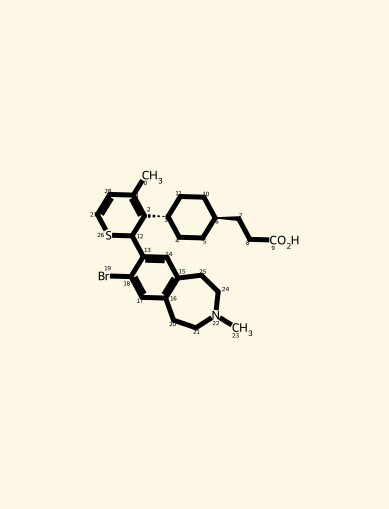 CC1=C([C@H]2CC[C@H](CCC(=O)O)CC2)C(c2cc3c(cc2Br)CCN(C)CC3)SC=C1